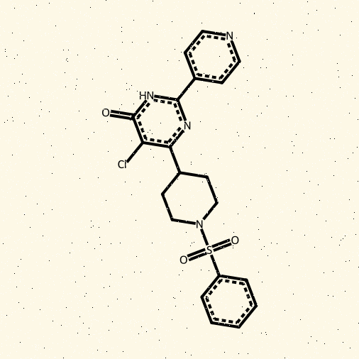 O=c1[nH]c(-c2ccncc2)nc(C2CCN(S(=O)(=O)c3ccccc3)CC2)c1Cl